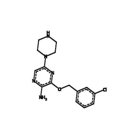 Nc1ncc(N2CCNCC2)nc1OCc1cccc(Cl)c1